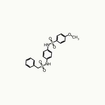 COc1ccc(S(=O)(=O)Nc2ccc(NS(=O)(=O)Cc3ccccc3)cc2)cc1